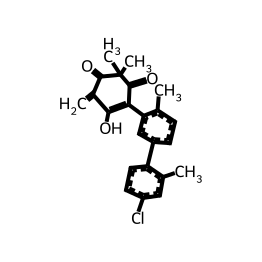 C=C1C(=O)C(C)(C)C(=O)C(c2cc(-c3ccc(Cl)cc3C)ccc2C)=C1O